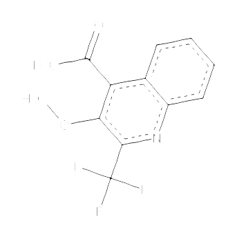 COc1c(C(F)(F)F)nc2ccccc2c1C(C)=O